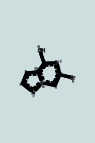 Oc1nc(Br)cn2nccc12